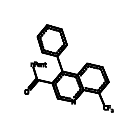 CCCCCC(=O)c1cnc2c(C(F)(F)F)cccc2c1-c1ccccc1